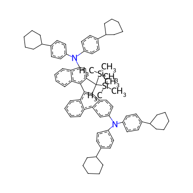 C[Si](C)(C)C1([Si](C)(C)C)c2cc(N(c3ccc(C4CCCCC4)cc3)c3ccc(C4CCCCC4)cc3)c3ccccc3c2-c2c1c1ccc(N(c3ccc(C4CCCCC4)cc3)c3ccc(C4CCCCC4)cc3)cc1c1ccccc21